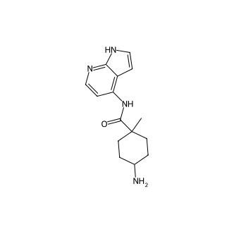 CC1(C(=O)Nc2ccnc3[nH]ccc23)CCC(N)CC1